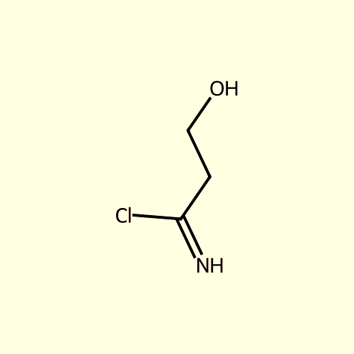 N=C(Cl)CCO